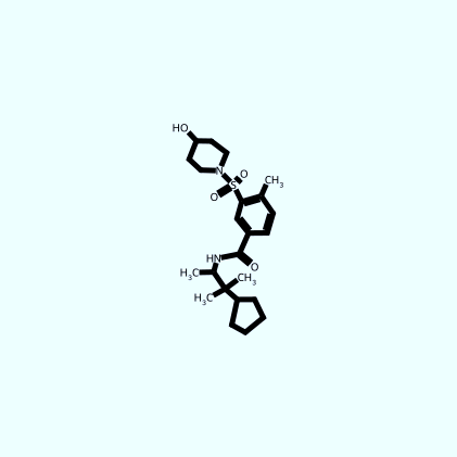 Cc1ccc(C(=O)NC(C)C(C)(C)C2CCCC2)cc1S(=O)(=O)N1CCC(O)CC1